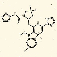 COC(=O)C1=C(CN2CC(F)(F)C[C@H]2C(=O)Nc2nccs2)NC(c2nccs2)=N[C@@]1(C)c1ccc(F)cc1